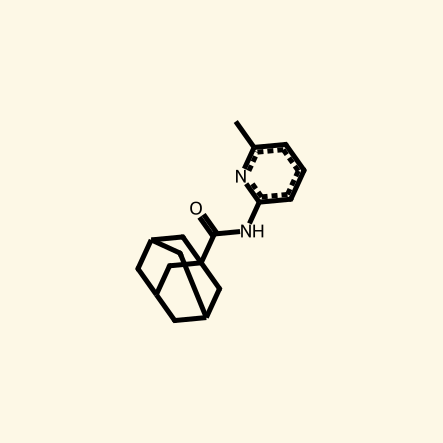 Cc1cccc(NC(=O)C23CC4CC(CC(C4)C2)C3)n1